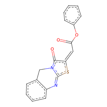 O=C(/C=c1/sc2n(c1=O)Cc1ccccc1N=2)Oc1ccccc1